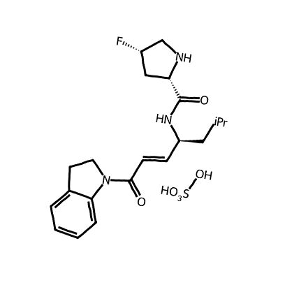 CC(C)C[C@@H](/C=C/C(=O)N1CCc2ccccc21)NC(=O)[C@@H]1C[C@H](F)CN1.O=S(=O)(O)O